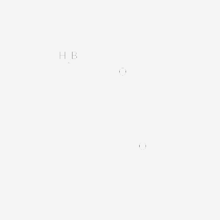 BC1CC[C@](C)(COC)O1